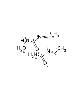 CC=NC(N)=O.CC=NC(N)=O.O